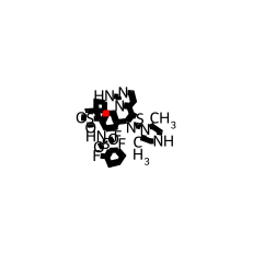 C[C@@H]1CNC[C@@H](C)N1c1nc(-c2cccc(NS(=O)(=O)c3c(F)cccc3F)c2F)c(-c2ccnc(NC3CC4(C3)CS(=O)(=O)C4)n2)s1